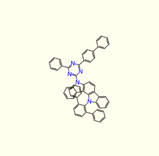 c1ccc(-c2ccc(-c3nc(-c4ccccc4)nc(-n4c5ccccc5c5c4ccc4c6ccccc6n(-c6c(-c7ccccc7)cccc6-c6ccccc6)c45)n3)cc2)cc1